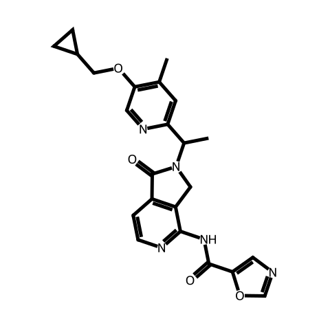 Cc1cc(C(C)N2Cc3c(ccnc3NC(=O)c3cnco3)C2=O)ncc1OCC1CC1